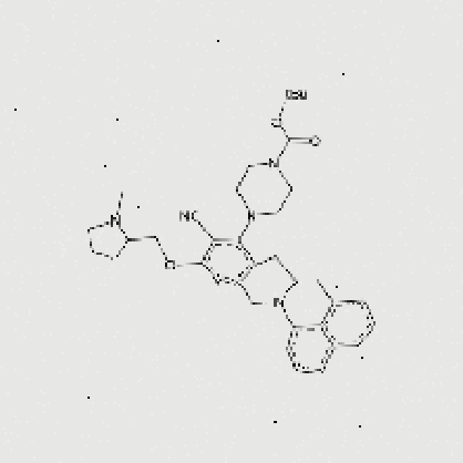 Cc1cccc2cccc(N3CCc4c(nc(OCC5CCCN5C)c(C#N)c4N4CCN(C(=O)OC(C)(C)C)CC4)C3)c12